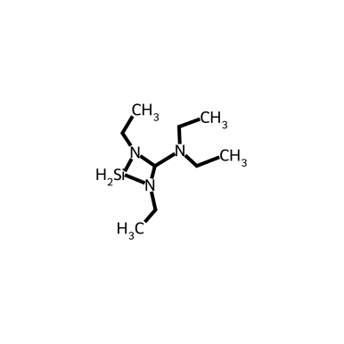 CCN(CC)C1N(CC)[SiH2]N1CC